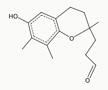 Cc1c(O)cc2c(c1C)OC(C)(CCC=O)CC2